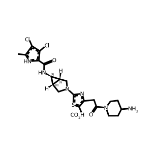 Cc1[nH]c(C(=O)N[C@H]2[C@@H]3CN(c4nc(CC(=O)N5CCC(N)CC5)c(C(=O)O)s4)C[C@@H]32)c(Cl)c1Cl